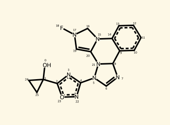 OC1(c2nc(N3C=NC4c5ccccc5N5CN(F)C=C5N43)no2)CC1